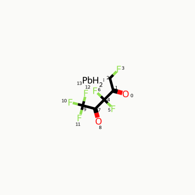 O=C(CF)C(F)(F)C(=O)C(F)(F)F.[PbH2]